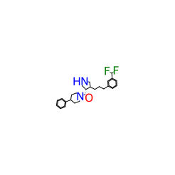 O=C([C@@H]1CNCC1CCCc1cccc(C(F)F)c1)N1CCC(c2ccccc2)CC1